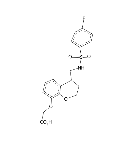 O=C(O)COc1cccc2c1OCCC2CNS(=O)(=O)c1ccc(F)cc1